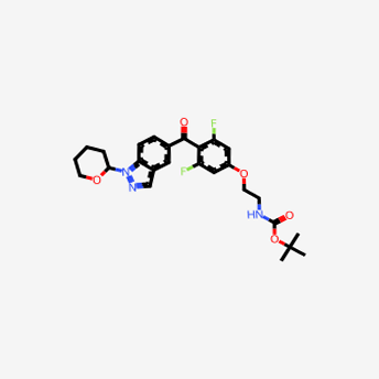 CC(C)(C)OC(=O)NCCOc1cc(F)c(C(=O)c2ccc3c(cnn3C3CCCCO3)c2)c(F)c1